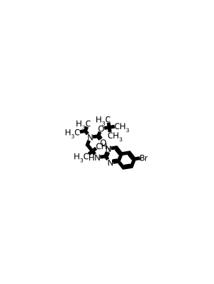 CC(C)N(CC(C)(C)Nc1ncc2cc(Br)ccc2n1)C(=O)OC(C)(C)C